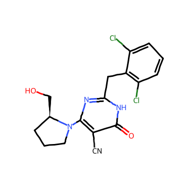 N#Cc1c(N2CCC[C@H]2CO)nc(Cc2c(Cl)cccc2Cl)[nH]c1=O